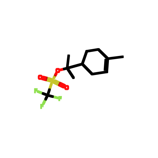 CC1=CCC(C(C)(C)OS(=O)(=O)C(F)(F)F)CC1